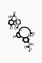 COC(=O)Nc1ccc2c(c1)NC(=O)CCCC[C@@H](C(=O)N1CCC[C@@]3(C1)OC(=O)Nc1ccc(Cl)c(F)c13)c1cc(F)cc-2c1